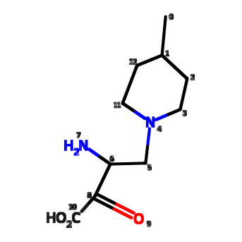 CC1CCN(CC(N)C(=O)C(=O)O)CC1